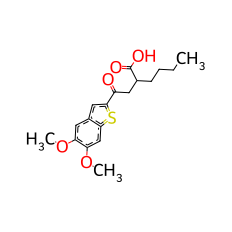 CCCCC(CC(=O)c1cc2cc(OC)c(OC)cc2s1)C(=O)O